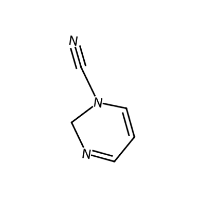 N#CN1C=CC=NC1